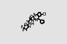 CC(CC(=O)N[C@@H](C)C(=O)NC1N=C(c2ccccc2)c2cc(Cl)ccc2N(C)C1=O)C(F)(F)F